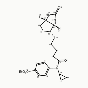 CCOC(=O)c1ccc(N(C(=O)CCCC[C@@H]2SC[C@@H]3NC(=O)N[C@@H]32)C2CC2)cc1